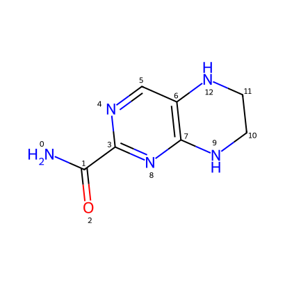 NC(=O)c1ncc2c(n1)NCCN2